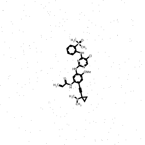 C=CC(=O)Nc1cc(Nc2ncc(Cl)c(Nc3ccccc3P(C)(C)=O)n2)c(OC)cc1C#CC1(N(C)C)CC1